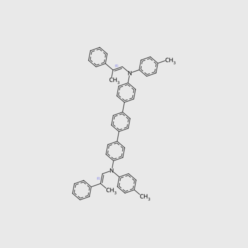 C/C(=C\N(c1ccc(C)cc1)c1ccc(-c2ccc(-c3ccc(N(/C=C(\C)c4ccccc4)c4ccc(C)cc4)cc3)cc2)cc1)c1ccccc1